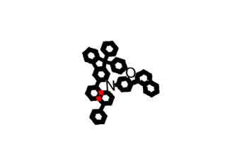 c1ccc(-c2ccc(N(c3ccc4c(c3)oc3ccc5ccccc5c34)c3cc4c(cc3-c3ccccc3)-c3ccccc3C4(c3ccccc3)c3ccccc3)cc2)cc1